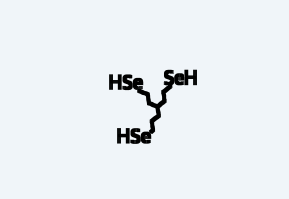 [SeH]CCCC(CCC[SeH])CCC[SeH]